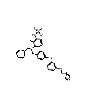 Cc1c(NS(C)(=O)=O)cccc1N(Cc1ccccc1)Cc1ccc(Oc2cccc(OCC3(C)COC3)c2)cc1